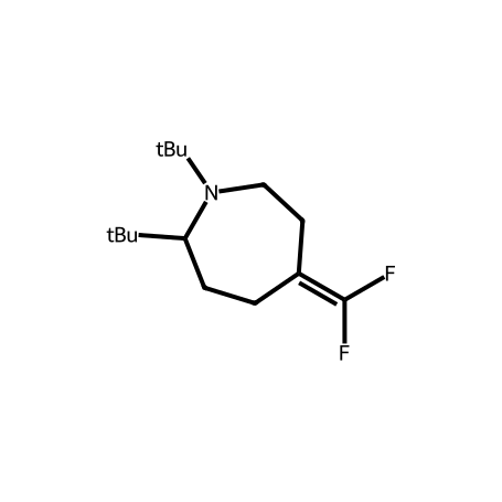 CC(C)(C)C1CCC(=C(F)F)CCN1C(C)(C)C